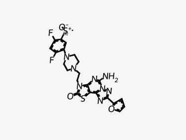 C[S@@+]([O-])c1cc(N2CCN(CCn3c(=O)sc4c3nc(N)n3nc(-c5ccco5)nc43)CC2)c(F)cc1F